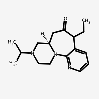 CCC1C(=O)C[C@@H]2CN(C(C)C)CCN2c2ncccc21